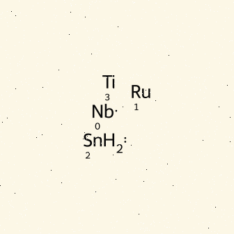 [Nb].[Ru].[SnH2].[Ti]